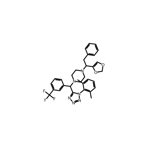 Cc1cccc(C)c1-n1nnnc1C(c1cccc(C(F)(F)F)c1)N1CCN(C(Cc2ccccc2)C2=COCO2)CC1